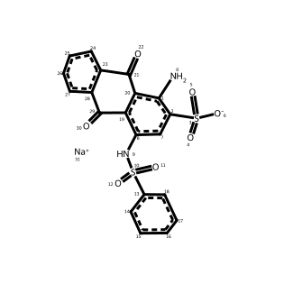 Nc1c(S(=O)(=O)[O-])cc(NS(=O)(=O)c2ccccc2)c2c1C(=O)c1ccccc1C2=O.[Na+]